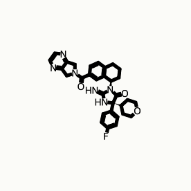 N=C1N[C@@](c2ccc(F)cc2)(C2CCOCC2)C(=O)N1[C@@H]1CCCc2ccc(C(=O)N3Cc4nccnc4C3)cc21